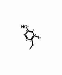 CCc1ccc(O)cc1I